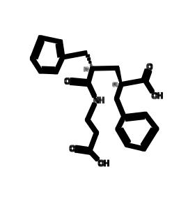 O=C(O)CCNC(=O)[C@H](Cc1ccccc1)C[C@H](Cc1ccccc1)C(=O)O